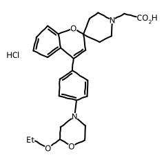 CCOC1CN(c2ccc(C3=CC4(CCN(CC(=O)O)CC4)Oc4ccccc43)cc2)CCO1.Cl